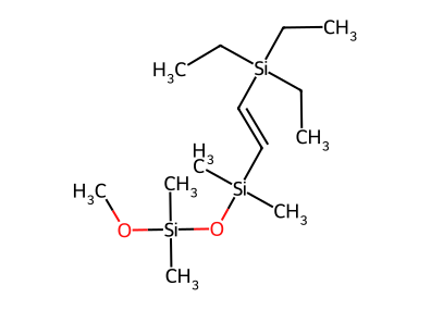 CC[Si](C=C[Si](C)(C)O[Si](C)(C)OC)(CC)CC